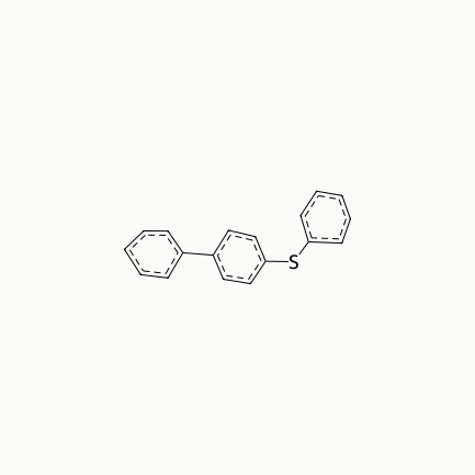 c1ccc(Sc2ccc(-c3ccccc3)cc2)cc1